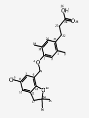 Cc1cc(OCc2cc(Cl)cc3c2OC(C)(C)C3)c(C)cc1CCC(=O)O